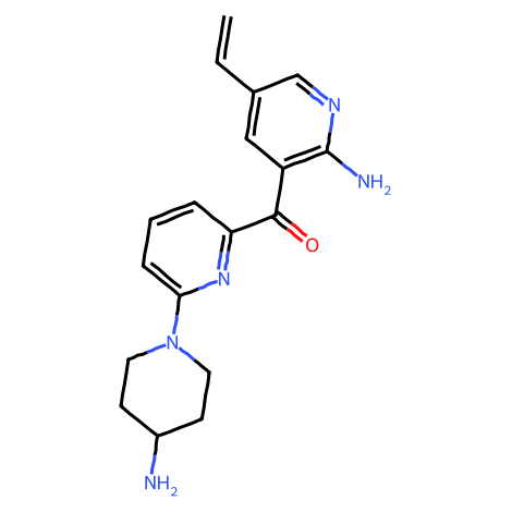 C=Cc1cnc(N)c(C(=O)c2cccc(N3CCC(N)CC3)n2)c1